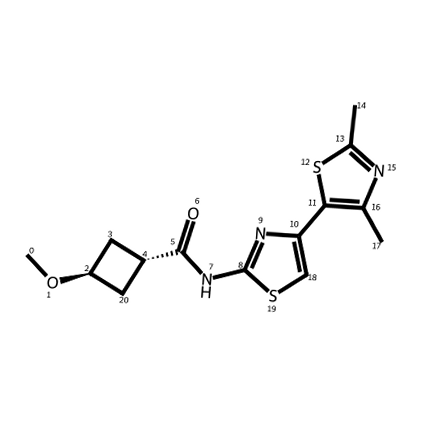 CO[C@H]1C[C@H](C(=O)Nc2nc(-c3sc(C)nc3C)cs2)C1